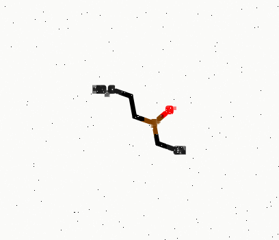 N#CC[S+]([O-])CCC(=O)O